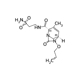 C=CCON1C(=O)N2C[C@H]1C=C(C)[C@H]2C(=O)NCCS(N)(=O)=O